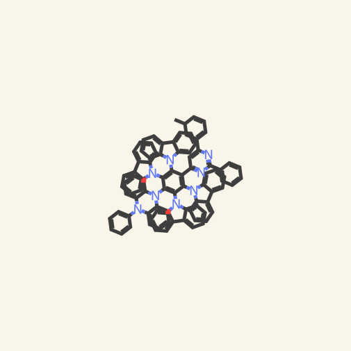 CC1C=CC=C(c2cc(-c3c(-n4c5ccccc5c5ccccc54)c(-n4c5ccccc5c5ccccc54)c(N4c5ccccc5N(c5ccccc5)c5ccccc54)c(-n4c5ccccc5c5ccccc54)c3-n3c4ccccc4c4ccccc43)nc(-c3ccccc3)n2)C1